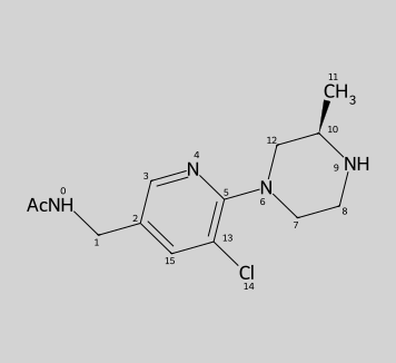 CC(=O)NCc1cnc(N2CCN[C@H](C)C2)c(Cl)c1